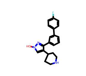 On1cc(C2CCNCC2)c(-c2cccc(-c3ccc(F)cc3)c2)n1